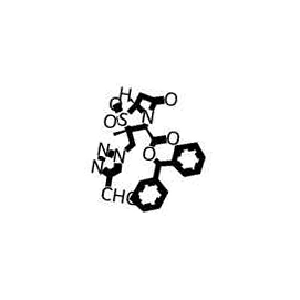 C[C@]1(Cn2cc(C=O)nn2)[C@H](C(=O)OC(c2ccccc2)c2ccccc2)N2C(=O)C[C@@H]2S1(=O)=O